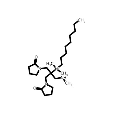 CCCCCCCCC[N+](C)(C)C(CNC)(CN1CCCC1=O)CN1CCCC1=O